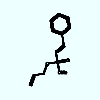 C=CCOP(=O)(C=Cc1ccccc1)OC